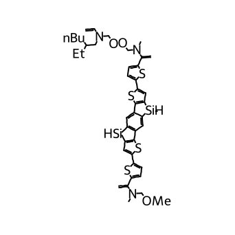 C=CN(COOCN(C)C(=C)c1ccc(-c2cc3c(s2)-c2cc4c(cc2[SiH]3C)-c2sc(-c3ccc(C(=C)N(C)COC)s3)cc2[SiH]4C)s1)CC(CC)CCCC